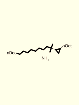 CCCCCCCCCCCCCCCCCCC(C)(C)[C@H]1C[C@H]1CCCCCCCC.N